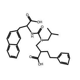 CC(C)CN(CC(CCc1ccccc1)C(=O)O)C(=O)NC(Cc1ccc2ccccc2c1)C(=O)O